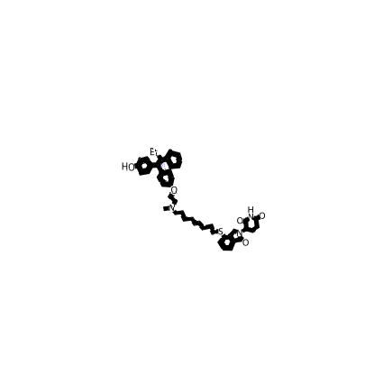 CC/C(=C(\c1ccc(O)cc1)c1ccc(OCCN(C)CCCCCCCCCSc2cccc3c2CN(C2CCC(=O)NC2=O)C3=O)cc1)c1ccccc1